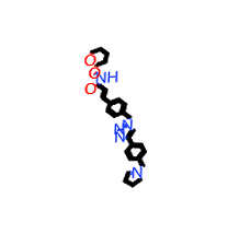 O=C(C=Cc1ccc(Cn2cc(-c3ccc(CN4CCCC4)cc3)nn2)cc1)NOC1CCCCO1